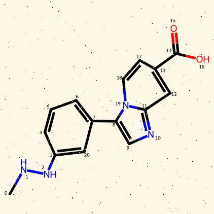 CNNc1cccc(-c2cnc3cc(C(=O)O)ccn23)c1